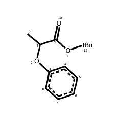 CC(Oc1ccccc1)C(=O)OC(C)(C)C